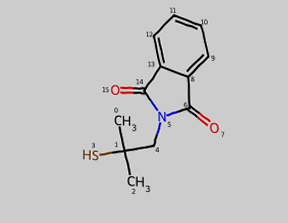 CC(C)(S)CN1C(=O)c2ccccc2C1=O